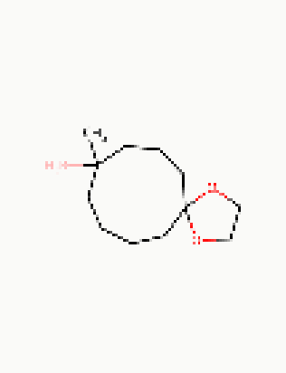 BC1(C)CCCCC2(CCC1)OCCO2